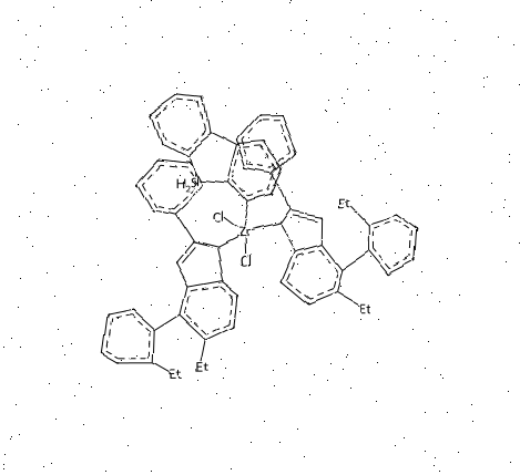 CCc1ccccc1-c1c(CC)ccc2c1C=C(c1ccccc1)[CH]2[Zr]([Cl])([Cl])([c]1cccc2c1[SiH2]c1ccccc1-2)[CH]1C(c2ccccc2)=Cc2c1ccc(CC)c2-c1ccccc1CC